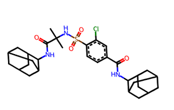 CC(C)(NS(=O)(=O)c1ccc(C(=O)NC2C3CC4CC(C3)CC2C4)cc1Cl)C(=O)NC1C2CC3CC(C2)CC1C3